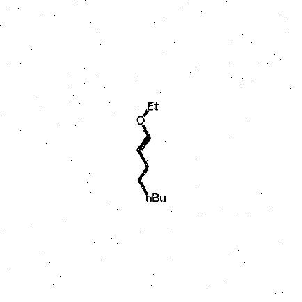 CCCCCCC=COCC